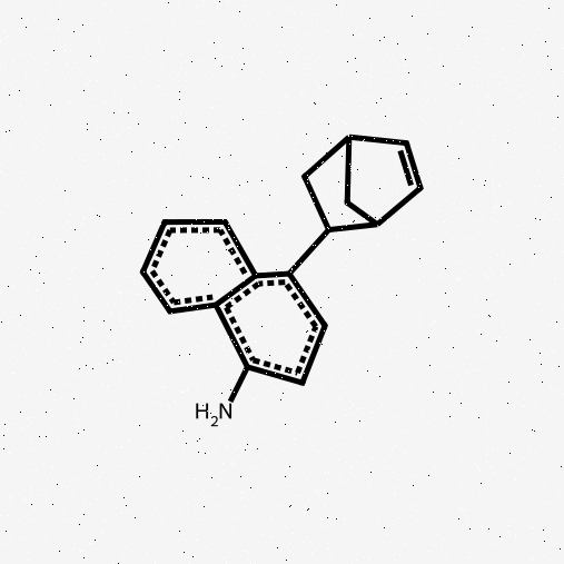 Nc1ccc(C2CC3C=CC2C3)c2ccccc12